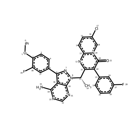 CC(C)Oc1ccc(-c2nn([C@@H](C)c3nc4ccc(Cl)cn4c(=O)c3-c3cccc(F)c3)c3ncnc(N)c23)cc1F